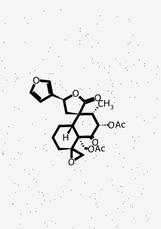 CC(=O)OC[C@@]12C(=O)[C@@H](OC(C)=O)[C@@H](C)[C@]3(C[C@@H](c4ccoc4)OC3=O)[C@H]1CCC[C@]21CO1